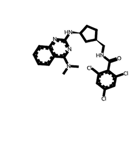 CN(C)c1nc(N[C@H]2CC[C@@H](CNC(=O)c3c(Cl)cc(Cl)cc3Cl)C2)nc2ccccc12